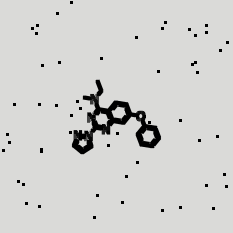 CCN(C)c1nc(-n2cccn2)nc2cc(Oc3ccccc3)ccc12